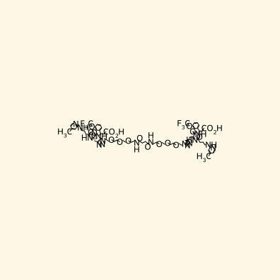 Cc1ccnc(NCCCC(=O)N[C@@H](Cc2cn(CCOCCOCCOCCNC(=O)CCC(=O)NCCOCCOCCOCCn3cc(C[C@H](NC(=O)CCCNc4cc(C)ccn4)C(=O)NC(CC(=O)O)c4cccc(OC(F)(F)F)c4)nn3)nn2)C(=O)NC(CC(=O)O)c2cccc(OC(F)(F)F)c2)c1